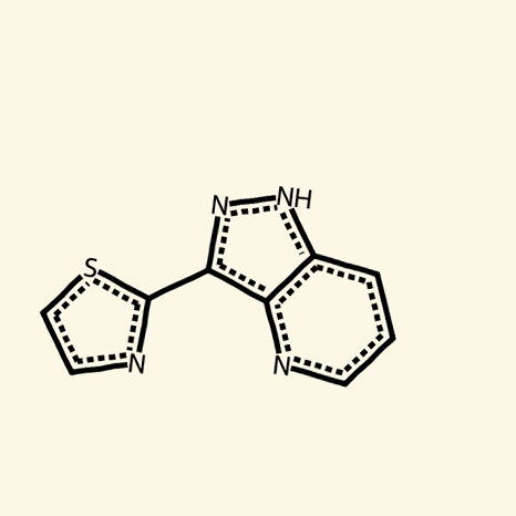 c1cnc2c(-c3nccs3)n[nH]c2c1